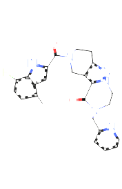 Cc1ccc(F)c2[nH]c(C(=O)N3Cc4c(nn5c4C(=O)N(Cc4ccccn4)CC5)C[C@H]3C)cc12